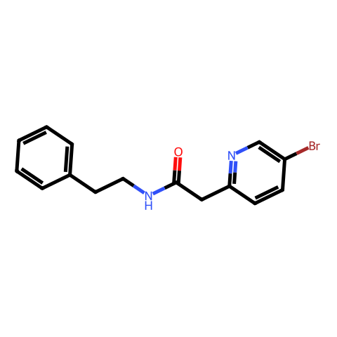 O=C(Cc1ccc(Br)cn1)NCCc1ccccc1